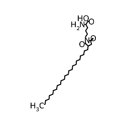 CCCCCCCCCCCCCCCCCCCCCCCCC1CC(=O)N(CCCCC(N)C(=O)O)C1=O